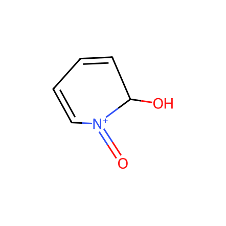 O=[N+]1C=CC=CC1O